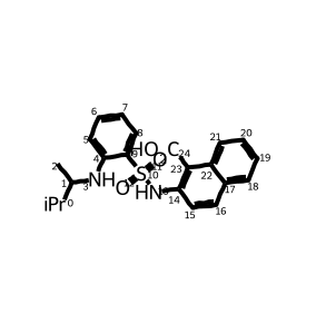 CC(C)C(C)Nc1ccccc1S(=O)(=O)Nc1ccc2ccccc2c1C(=O)O